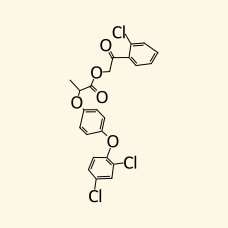 CC(Oc1ccc(Oc2ccc(Cl)cc2Cl)cc1)C(=O)OCC(=O)c1ccccc1Cl